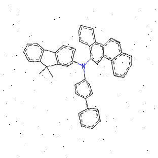 CC1(C)c2ccccc2-c2ccc(N(c3ccc(-c4ccccc4)cc3)c3cc4c5ccccc5ccc4c4ccccc34)cc21